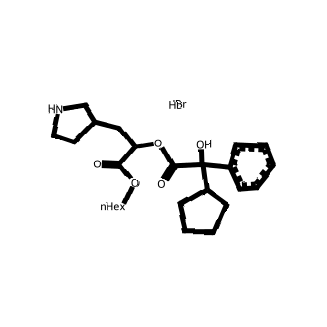 Br.CCCCCCOC(=O)C(CC1CCNC1)OC(=O)C(O)(c1ccccc1)C1CCCC1